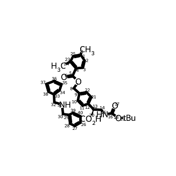 Cc1ccc(C(=O)OCc2ccc([C@@H](CNC(=O)OC(C)(C)C)C(=O)O)cc2)c(C)c1.c1ccc(CNCc2ccccc2)cc1